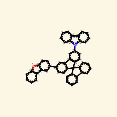 c1ccc2c(c1)-c1ccccc1C21c2ccc(-c3ccc4oc5ccccc5c4c3)cc2-c2cc(-n3c4ccccc4c4ccccc43)ccc21